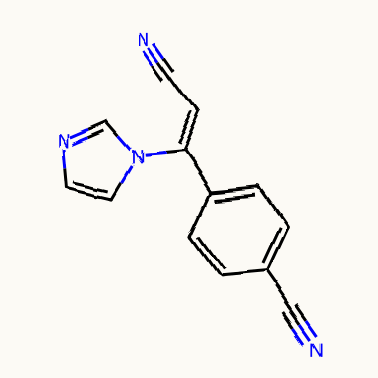 N#C/C=C(/c1ccc(C#N)cc1)n1ccnc1